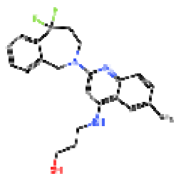 Cc1ccc2nc(N3CCC(F)(F)c4ccccc4C3)cc(NCCCO)c2c1